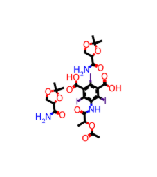 CC(=O)OC(C)C(=O)Nc1c(I)c(C(=O)O)c(I)c(C(=O)O)c1I.CC1(C)OCC(C(N)=O)O1.CC1(C)OCC(C(N)=O)O1